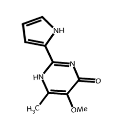 COc1c(C)[nH]c(-c2ccc[nH]2)nc1=O